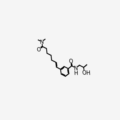 CC(O)CNC(=O)c1cccc(C=CCCCCC(=O)N(C)C)c1